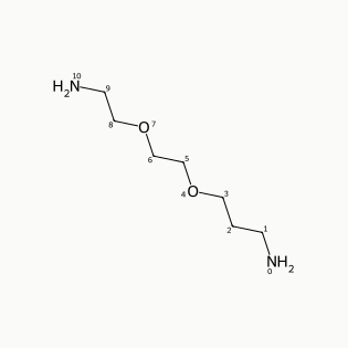 NCCCOCCOCCN